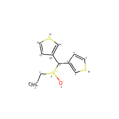 O=CC[S+]([O-])C(c1ccsc1)c1ccsc1